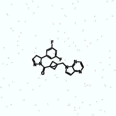 O=C(N1N=CCC1c1cc(F)cc(F)c1)C12CC(Cn3ccc4nccnc43)(C1)C2